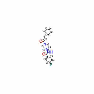 O=C(NN1CCN(C(=O)C=Cc2ccccc2)CC1)c1ccc(F)cc1